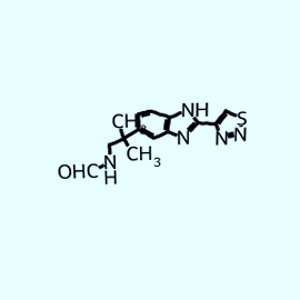 CC(C)(CNC=O)c1ccc2[nH]c(-c3csnn3)nc2c1